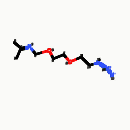 CC(C)=NCOCCOCCN=[N+]=[N-]